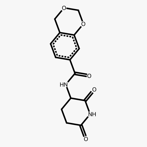 O=C1CCC(NC(=O)c2ccc3c(c2)OCOC3)C(=O)N1